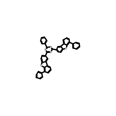 c1ccc(-c2nc(-c3ccc4oc5c(-c6ccccc6)cccc5c4c3)nc(-c3ccc4oc5c(-c6ccccc6)cccc5c4c3)n2)cc1